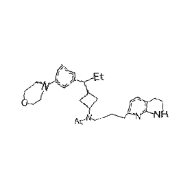 CCC(c1cccc(N2CCOCC2)c1)C1CC(N(CCCc2ccc3c(n2)NCCC3)C(C)=O)C1